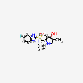 Cc1cnc(C[S+]([O-])c2nc3cc(F)ccc3[nH]2)c(C)c1O.[NaH].[NaH]